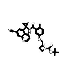 Cc1ccc(OC[C@@H]2CCN2C(=O)OC(C)(C)C)cc1C(=O)NC1(c2cc(C#N)cc3ncccc23)CC1